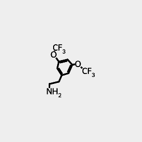 NCCc1cc(OC(F)(F)F)cc(OC(F)(F)F)c1